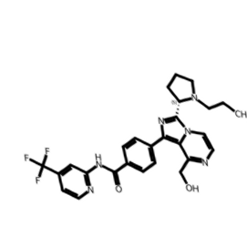 CCCN1CCC[C@H]1c1nc(-c2ccc(C(=O)Nc3cc(C(F)(F)F)ccn3)cc2)c2c(CO)nccn12